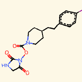 O=C(ON1C(=O)CNC1=O)N1CCC(CCc2ccc(I)cc2)CC1